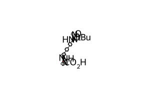 CC(C)(C)OC(=O)N1CCCC1c1ncc(-c2ccc(-c3ccc(-c4ccc5nc(C6C7CCC(C7)N6C(=O)O)[nH]c5c4)cc3)cc2)[nH]1